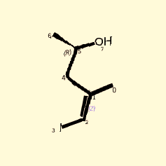 C/C(=C/I)C[C@@H](C)O